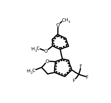 [CH2]C1Cc2cc(C(F)(F)F)cc(-c3ccc(OC)cc3OC)c2O1